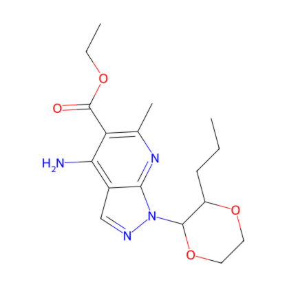 CCCC1OCCOC1n1ncc2c(N)c(C(=O)OCC)c(C)nc21